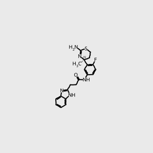 C[C@@]1(c2cc(NC(=O)CCc3nc4ccccc4[nH]3)ccc2F)CCSC(N)=N1